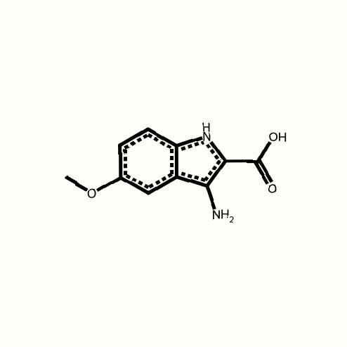 COc1ccc2[nH]c(C(=O)O)c(N)c2c1